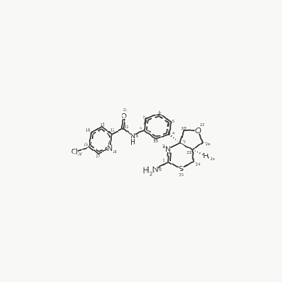 NC1=N[C@@]2(c3cccc(NC(=O)c4ccc(Cl)cn4)c3)COC[C@H]2CS1